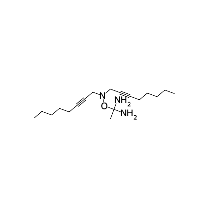 CCCCCC#CCN(CC#CCCCCC)OC(C)(N)N